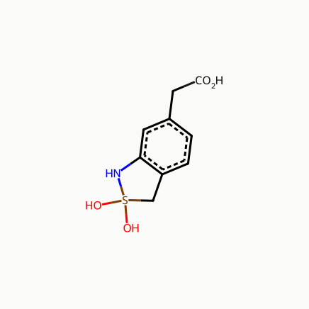 O=C(O)Cc1ccc2c(c1)NS(O)(O)C2